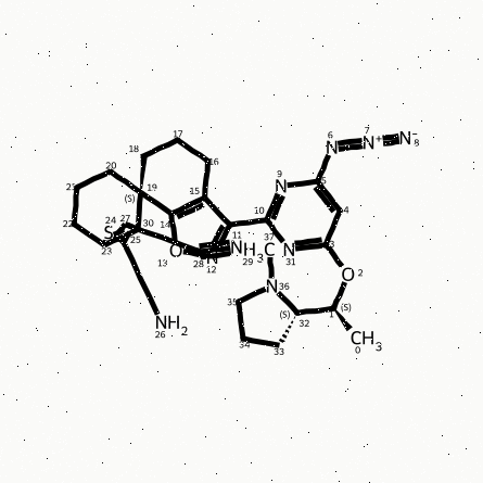 C[C@H](Oc1cc(N=[N+]=[N-])nc(-c2noc3c2CCC[C@@]32CCCc3sc(N)c(C#N)c32)n1)[C@@H]1CCCN1C